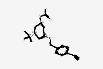 C#Cc1ccc(CO[C@H]2C[C@H](OC(C)=O)C[C@@H](C(C)(C)C)C2)cc1